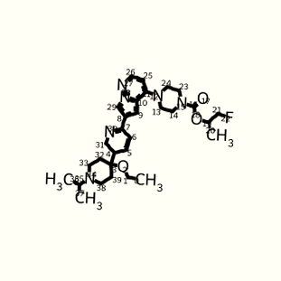 CCOC1(C2C=CC(c3cc4c(N5CCN(C(=O)O[C@H](C)CF)CC5)ccnn4c3)=NC2)CCN(C(C)C)CC1